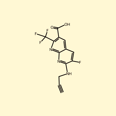 C#CCNc1nc2nc(C(F)(F)F)c(C(=O)O)cc2cc1F